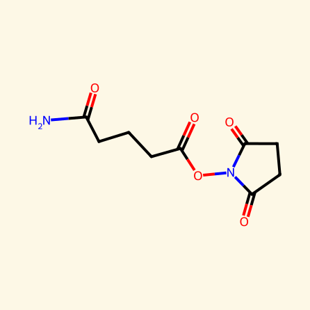 NC(=O)CCCC(=O)ON1C(=O)CCC1=O